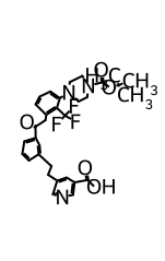 CC(C)(C)OC(=O)N1CCN(c2cccc(CC(=O)c3cccc(CCc4cncc(C(=O)O)c4)c3)c2C(F)(F)F)CC1